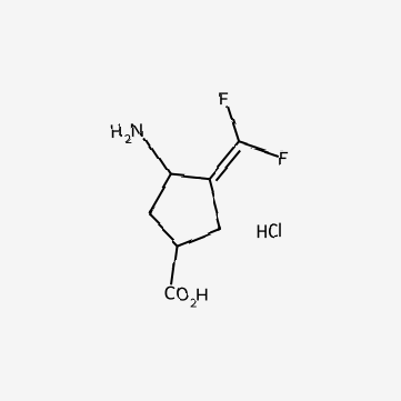 Cl.NC1CC(C(=O)O)CC1=C(F)F